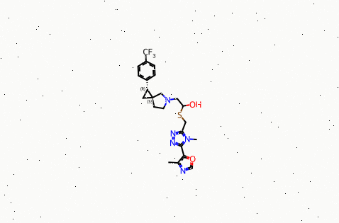 Cc1ncoc1-c1nnc(CSC(O)CN2CC[C@]3(C[C@@H]3c3ccc(C(F)(F)F)cc3)C2)n1C